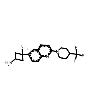 NC1CC(N)(c2ccc3nc(N4CCC(C(F)(F)F)CC4)ccc3c2)C1